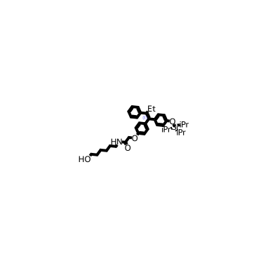 CC/C(=C(/c1ccc(OCC(=O)NCCCCCCO)cc1)c1ccc(O[Si](C(C)C)(C(C)C)C(C)C)cc1)c1ccccc1